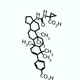 CC1(C)C(c2ccc(C(=O)O)cc2)=CCC2(C)C1CCC1(C)C2CCC2C3CCC[C@]3(NC(=O)NC3(C(=O)O)CC3)CC[C@]21C